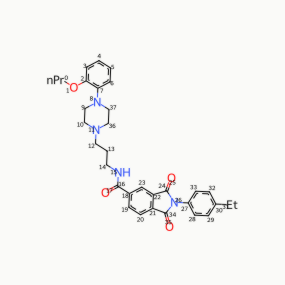 CCCOc1ccccc1N1CCN(CCCNC(=O)c2ccc3c(c2)C(=O)N(c2ccc(CC)cc2)C3=O)CC1